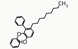 CCCCCCCCCc1ccc(O)c(Oc2ccccc2)c1-c1ccccc1